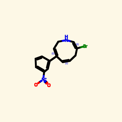 O=[N+]([O-])c1cccc(C2=C/CN/C=C(/Br)C/C=C\2)c1